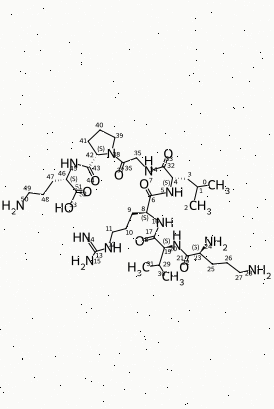 CC(C)C[C@H](NC(=O)[C@H](CCCNC(=N)N)NC(=O)[C@@H](NC(=O)[C@@H](N)CCCN)C(C)C)C(=O)NCC(=O)N1CCC[C@H]1C(=O)N[C@@H](CCCN)C(=O)O